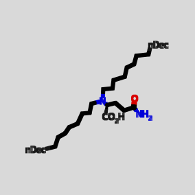 CCCCCCCCCCCCCCCCCCN(CCCCCCCCCCCCCCCCCC)[C@@H](CCC(N)=O)C(=O)O